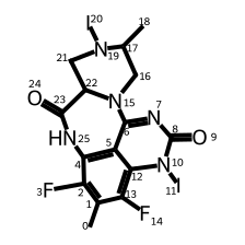 Cc1c(F)c2c3c(nc(=O)n(I)c3c1F)N1CC(C)N(I)CC1C(=O)N2